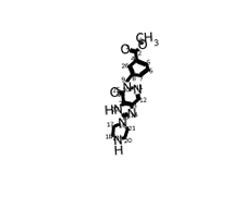 COC(=O)c1cccc(Cn2ncc3nc(N4CCNCC4)[nH]c3c2=O)c1